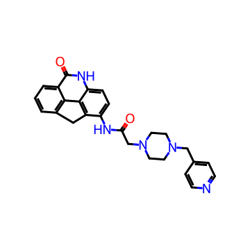 O=C(CN1CCN(Cc2ccncc2)CC1)Nc1ccc2[nH]c(=O)c3cccc4c3c2c1C4